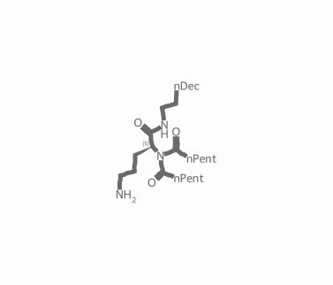 CCCCCCCCCCCCNC(=O)[C@H](CCCN)N(C(=O)CCCCC)C(=O)CCCCC